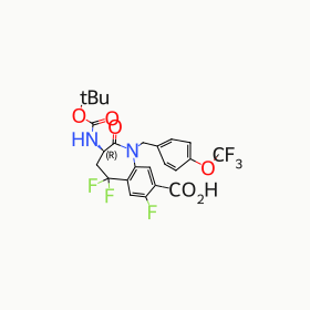 CC(C)(C)OC(=O)N[C@@H]1CC(F)(F)c2cc(F)c(C(=O)O)cc2N(Cc2ccc(OC(F)(F)F)cc2)C1=O